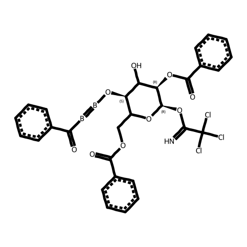 N=C(O[C@H]1OC(COC(=O)c2ccccc2)[C@@H](OB=BC(=O)c2ccccc2)C(O)[C@H]1OC(=O)c1ccccc1)C(Cl)(Cl)Cl